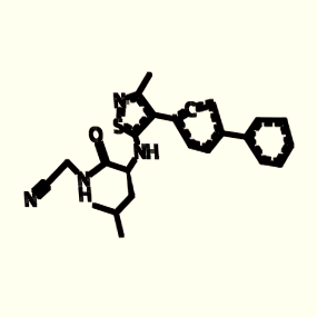 Cc1nsc(N[C@@H](CC(C)C)C(=O)NCC#N)c1-c1ccc(-c2ccccc2)cc1